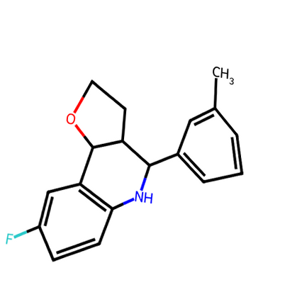 Cc1cccc(C2Nc3ccc(F)cc3C3OCCC23)c1